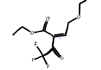 CCOC/C=C(\C(=O)OCC)C(=O)C(F)(F)F